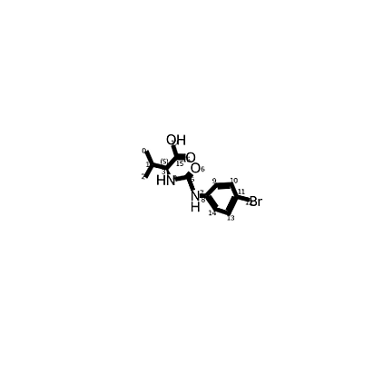 CC(C)[C@H](NC(=O)Nc1ccc(Br)cc1)C(=O)O